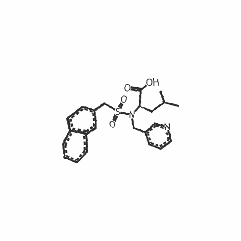 CC(C)C[C@H](C(=O)O)N(Cc1cccnc1)S(=O)(=O)Cc1ccc2ccccc2c1